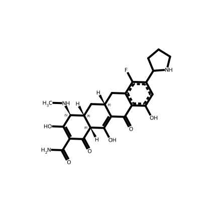 CN[C@@H]1C(O)=C(C(N)=O)C(=O)[C@H]2C(O)=C3C(=O)c4c(O)cc(C5CCCN5)c(F)c4C[C@H]3C[C@H]21